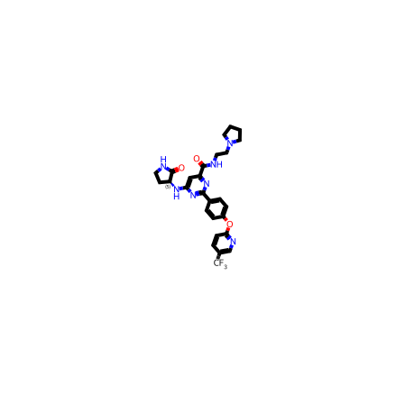 O=C(NCCN1CCCC1)c1cc(N[C@H]2CCNC2=O)nc(-c2ccc(Oc3ccc(C(F)(F)F)cn3)cc2)n1